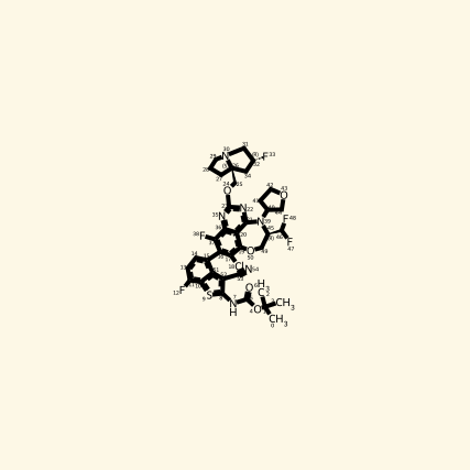 CC(C)(C)OC(=O)Nc1sc2c(F)ccc(-c3c(Cl)c4c5c(nc(OC[C@@]67CCCN6C[C@H](F)C7)nc5c3F)N(C3CCOC3)[C@@H](C(F)F)CO4)c2c1C#N